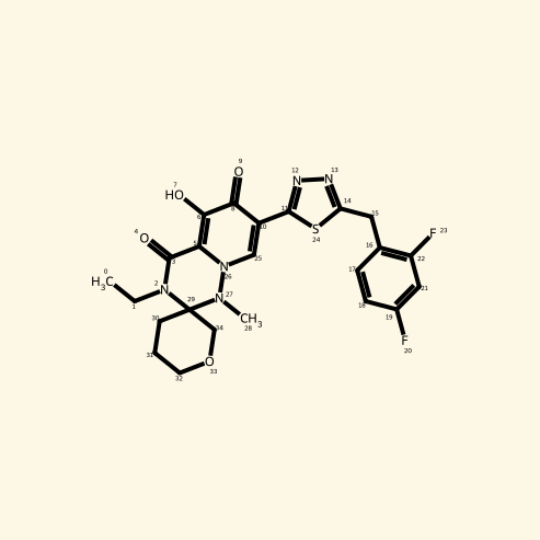 CCN1C(=O)c2c(O)c(=O)c(-c3nnc(Cc4ccc(F)cc4F)s3)cn2N(C)C12CCCOC2